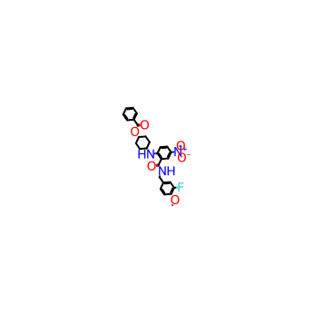 COc1ccc(CNC(=O)c2cc([N+](=O)[O-])ccc2N[C@H]2CC[C@@H](OC(=O)c3ccccc3)CC2)cc1F